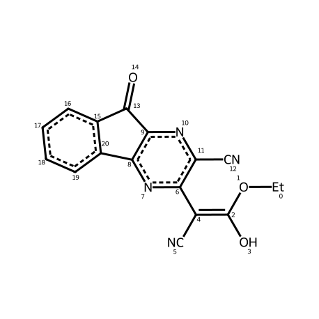 CCOC(O)=C(C#N)c1nc2c(nc1C#N)C(=O)c1ccccc1-2